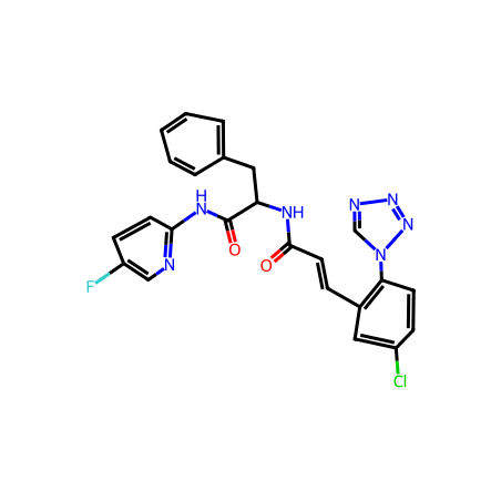 O=C(/C=C/c1cc(Cl)ccc1-n1cnnn1)NC(Cc1ccccc1)C(=O)Nc1ccc(F)cn1